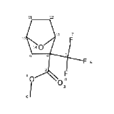 COC(=O)C1(C(F)(F)F)CC2CCC1O2